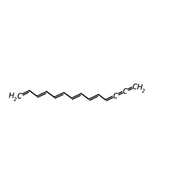 C=C=C=CC=CC=CC=CC=CC=C